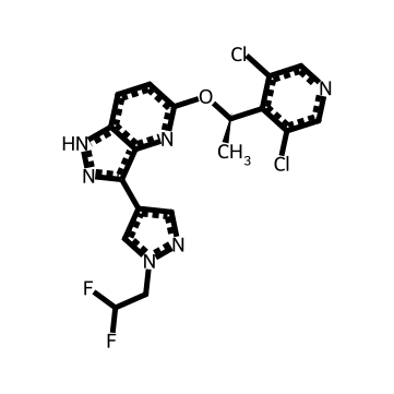 C[C@@H](Oc1ccc2[nH]nc(-c3cnn(CC(F)F)c3)c2n1)c1c(Cl)cncc1Cl